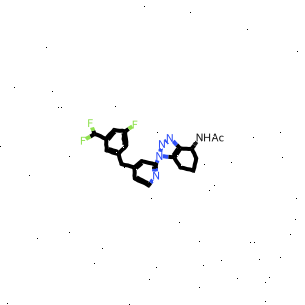 CC(=O)NC1CCCc2c1nnn2-c1cc(Cc2cc(F)cc(C(F)F)c2)ccn1